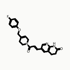 O=C1CCc2cc(C=CC(=O)N3CC=C(COc4ccc(F)cc4)CC3)cnc2N1